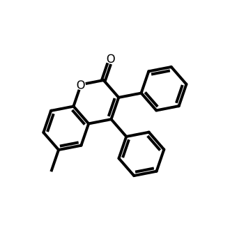 Cc1ccc2oc(=O)c(-c3ccccc3)c(-c3ccccc3)c2c1